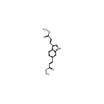 COC(=O)C=Cc1ccc2c(/C=C/C(=O)OC)c[nH]c2c1